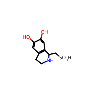 O=S(=O)(O)CC1NCCc2cc(O)c(O)cc21